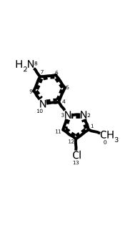 Cc1nn(-c2ccc(N)cn2)cc1Cl